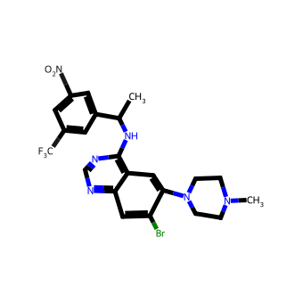 CC(Nc1ncnc2cc(Br)c(N3CCN(C)CC3)cc12)c1cc([N+](=O)[O-])cc(C(F)(F)F)c1